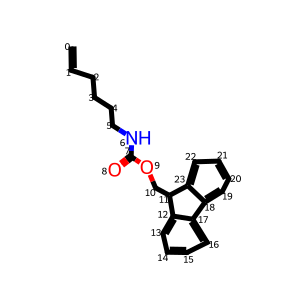 C=CCCCCNC(=O)OCC1c2ccccc2-c2ccccc21